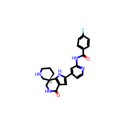 O=C(Nc1cc(-c2cc3c([nH]2)[C@]2(CCCNC2)CNC3=O)ccn1)c1ccc(F)cc1